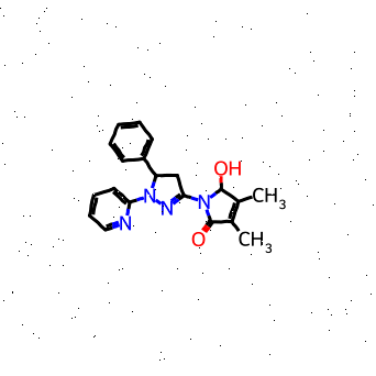 CC1=C(C)C(O)N(C2=NN(c3ccccn3)C(c3ccccc3)C2)C1=O